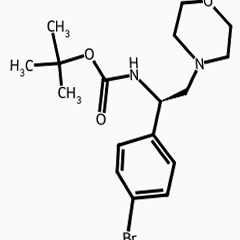 CC(C)(C)OC(=O)N[C@@H](CN1CCOCC1)c1ccc(Br)cc1